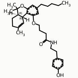 CCCCCc1cc(OCCCC(=O)NCCc2ccc(O)cc2)c2c(c1)OC(C)(C)[C@@H]1CCC(C)=C[C@@H]21